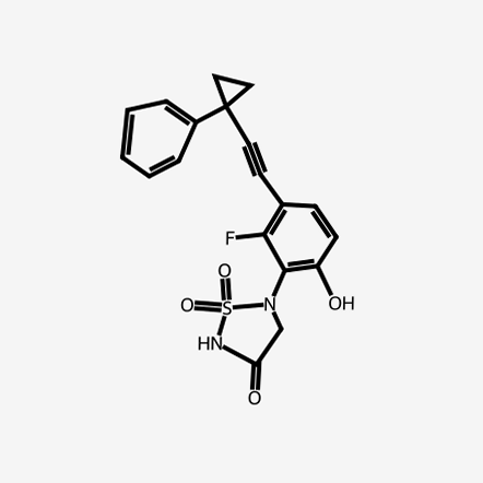 O=C1CN(c2c(O)ccc(C#CC3(c4ccccc4)CC3)c2F)S(=O)(=O)N1